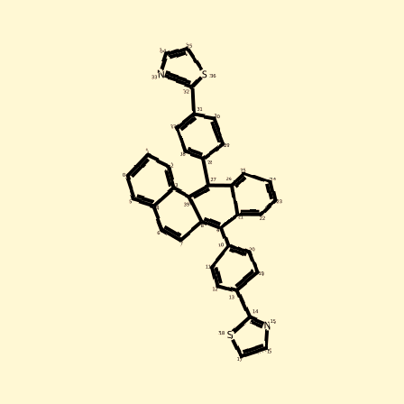 c1ccc2c(c1)ccc1c(-c3ccc(-c4nccs4)cc3)c3ccccc3c(-c3ccc(-c4nccs4)cc3)c12